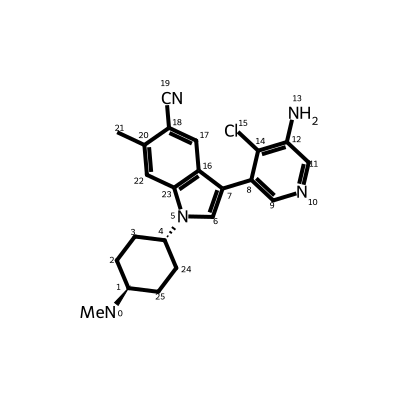 CN[C@H]1CC[C@H](n2cc(-c3cncc(N)c3Cl)c3cc(C#N)c(C)cc32)CC1